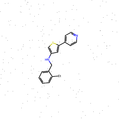 CCc1ccccc1CNc1csc(-c2ccncc2)c1